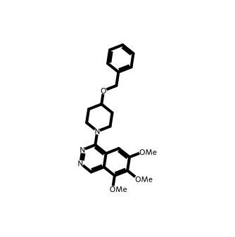 COc1cc2c(N3CCC(OCc4ccccc4)CC3)nncc2c(OC)c1OC